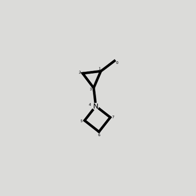 CC1CC1N1CCC1